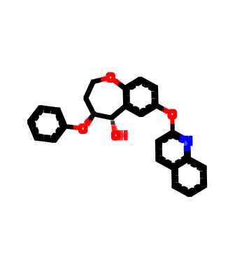 O[C@H]1c2cc(Oc3ccc4ccccc4n3)ccc2OCC[C@@H]1Oc1ccccc1